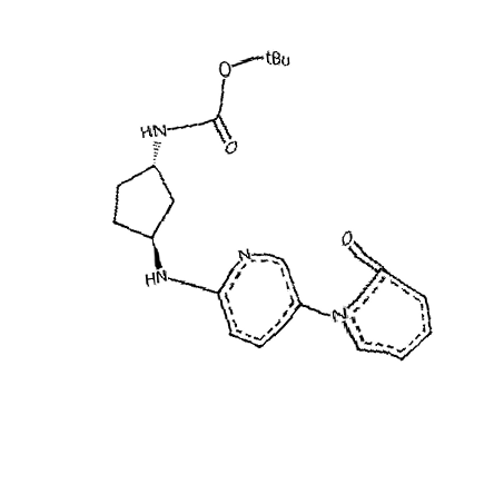 CC(C)(C)OC(=O)N[C@H]1CC[C@H](Nc2ccc(-n3ccccc3=O)cn2)C1